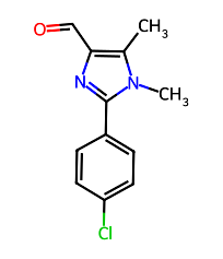 Cc1c(C=O)nc(-c2ccc(Cl)cc2)n1C